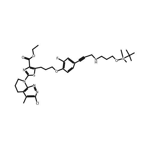 CCOC(=O)c1nc(N2CCCc3c2nnc(Cl)c3C)sc1CCCOc1ccc(C#CCNCCCO[Si](C)(C)C(C)(C)C)cc1F